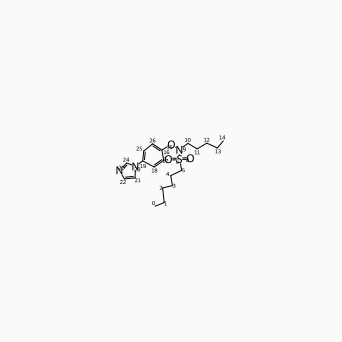 CCCCCCS(=O)(=O)N(CCCCC)Oc1ccc(-n2ccnc2)cc1